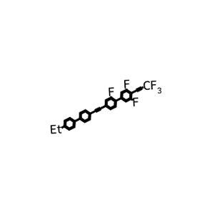 CCc1ccc(-c2ccc(C#Cc3ccc(-c4cc(F)c(C#CC(F)(F)F)c(F)c4)c(F)c3)cc2)cc1